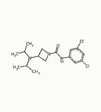 CC(C)N(C(C)C)C1CN(C(=O)Nc2cc(Cl)cc(Cl)c2)C1